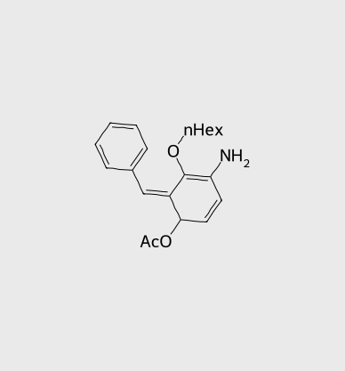 CCCCCCOC1=C(N)C=CC(OC(C)=O)C1=Cc1ccccc1